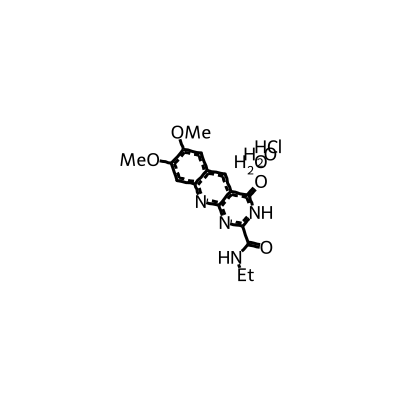 CCNC(=O)c1nc2nc3cc(OC)c(OC)cc3cc2c(=O)[nH]1.Cl.O.O